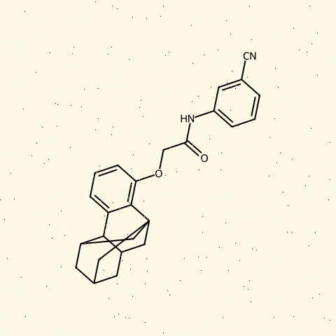 N#Cc1cccc(NC(=O)COc2cccc3c2C24CC5CC(C2)C3C(C5)C4)c1